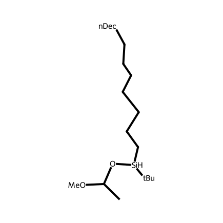 CCCCCCCCCCCCCCCCC[SiH](OC(C)OC)C(C)(C)C